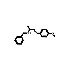 COc1ccc(OCC(C)NCc2ccccc2)cc1